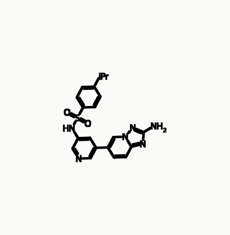 CC(C)c1ccc(S(=O)(=O)Nc2cncc(-c3ccc4nc(N)nn4c3)c2)cc1